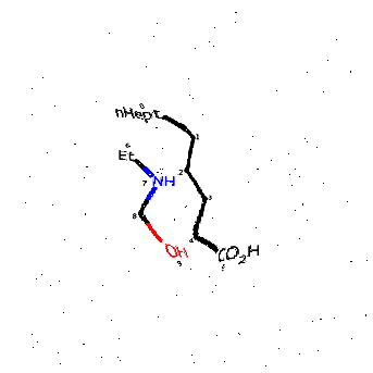 CCCCCCCCCCCC(=O)O.CCNCO